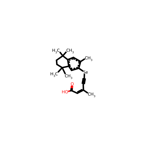 CC(C#C[Se]c1cc2c(cc1C)C(C)(C)CCC2(C)C)=CC(=O)O